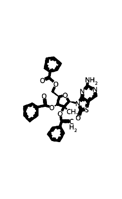 C=C(O[C@]1(C)[C@H](OC(=O)c2ccccc2)[C@@H](COC(=O)c2ccccc2)O[C@H]1n1c(=O)sc2cnc(N)nc21)c1ccccc1